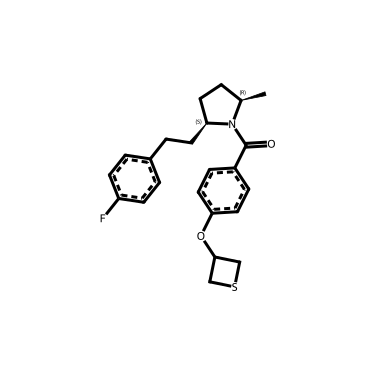 C[C@@H]1CC[C@H](CCc2ccc(F)cc2)N1C(=O)c1ccc(OC2CSC2)cc1